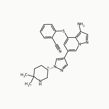 CC1(C)CC[C@H](n2cc(-c3cc(Sc4ccccc4C#N)c4c(N)cnn4c3)cn2)CN1